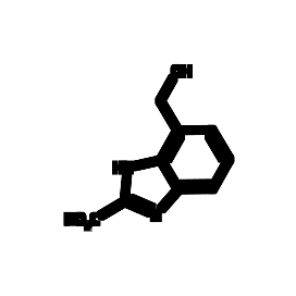 O=C(O)c1nc2cccc(CO)c2[nH]1